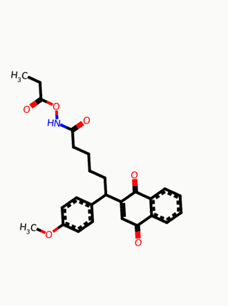 CCC(=O)ONC(=O)CCCCC(C1=CC(=O)c2ccccc2C1=O)c1ccc(OC)cc1